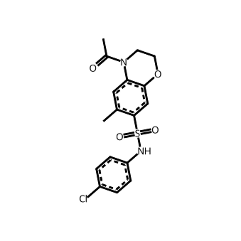 CC(=O)N1CCOc2cc(S(=O)(=O)Nc3ccc(Cl)cc3)c(C)cc21